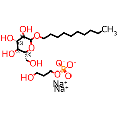 CCCCCCCCCCOC1O[C@H](CO)[C@@H](O)[C@H](O)[C@H]1O.O=P([O-])([O-])OCCCO.[Na+].[Na+]